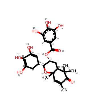 CC12C=C(C#N)C(=O)C(C)(C)C1C[C@@H](OC(=O)c1cc(O)c(O)c(O)c1)[C@@H](C1C=C(O)C(O)=C(O)C1)O2